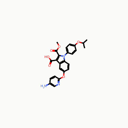 COC(=O)c1c(C(=O)O)c2cc(Oc3ccc(N)cn3)ccc2n1-c1ccc(OC(C)C)cc1